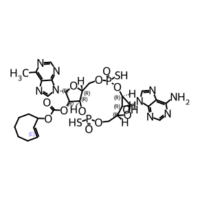 Cc1ncnc2c1ncn2[C@@H]1O[C@@H]2COP(=O)(S)O[C@@H]3[C@H](O)[C@@H](COP(=O)(S)O[C@H]2[C@H]1OC(=O)OC1/C=C/CCCCC1)O[C@H]3n1cnc2c(N)ncnc21